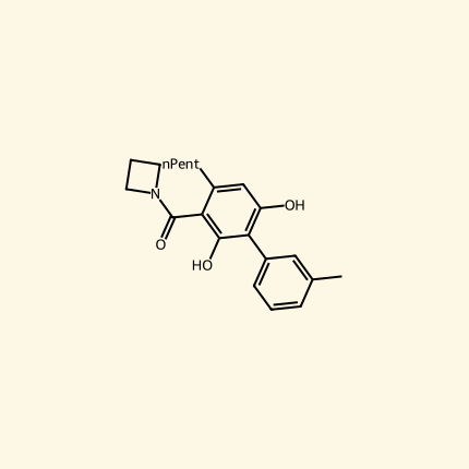 CCCCCc1cc(O)c(-c2cccc(C)c2)c(O)c1C(=O)N1CCC1